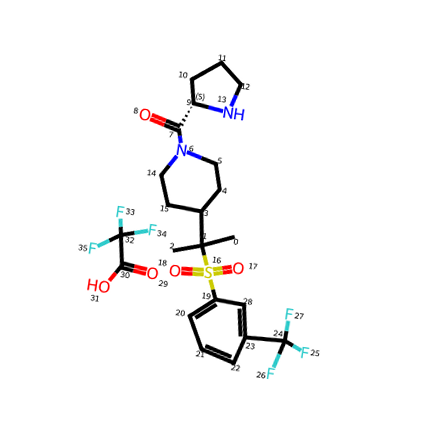 CC(C)(C1CCN(C(=O)[C@@H]2CCCN2)CC1)S(=O)(=O)c1cccc(C(F)(F)F)c1.O=C(O)C(F)(F)F